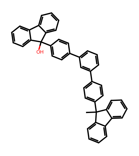 CC1(c2ccc(-c3cccc(-c4ccc(C5(O)c6ccccc6-c6ccccc65)cc4)c3)cc2)c2ccccc2-c2ccccc21